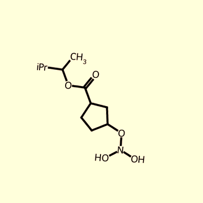 CC(C)C(C)OC(=O)C1CCC(ON(O)O)C1